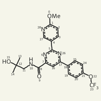 COc1ccc(-c2nc(C(=O)NCC(C)(C)O)cc(-c3ccc(OC(F)(F)F)cc3)n2)cn1